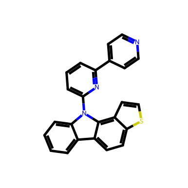 c1cc(-c2ccncc2)nc(-n2c3ccccc3c3ccc4sccc4c32)c1